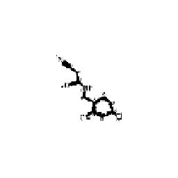 N#CCC(=O)NCc1ccc(Cl)cc1Cl